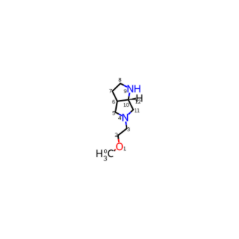 COCCN1CC2CCN[C@@H]2C1